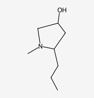 CCCC1CC(O)CN1C